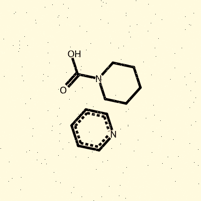 O=C(O)N1CCCCC1.c1ccncc1